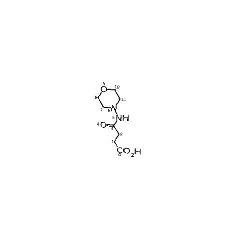 O=C(O)CCC(=O)NN1CCOCC1